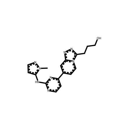 Cn1nccc1Nc1nccc(-c2ccn3c(CCCO)nnc3c2)n1